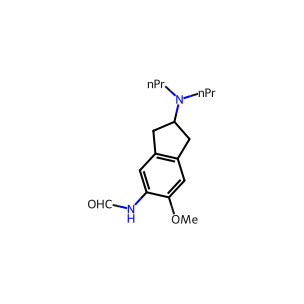 CCCN(CCC)C1Cc2cc(NC=O)c(OC)cc2C1